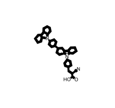 N#C/C(=C\c1ccc(-n2c3ccccc3c3cc(-c4ccc(-n5c6ccccc6c6ccccc65)cc4)ccc32)cc1)C(=O)O